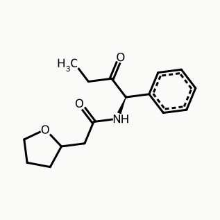 CCC(=O)[C@H](NC(=O)CC1CCCO1)c1ccccc1